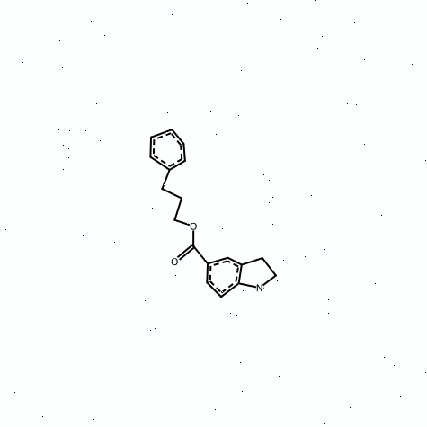 O=C(OCCCc1ccccc1)c1ccc2c(c1)CC[N]2